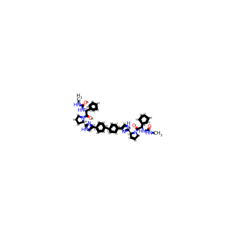 CNC(=O)N[C@@H](C(=O)N1CC=C[C@H]1c1nc(-c2ccc(-c3ccc(-c4c[nH]c([C@@H]5CCCN5C(=O)[C@H](NC(=O)NC)c5ccccc5)n4)cc3)cc2)c[nH]1)c1ccccc1